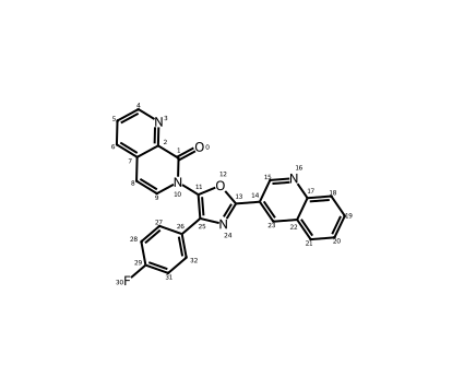 O=c1c2ncccc2ccn1-c1oc(-c2cnc3ccccc3c2)nc1-c1ccc(F)cc1